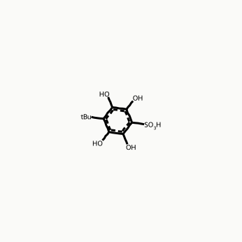 CC(C)(C)c1c(O)c(O)c(S(=O)(=O)O)c(O)c1O